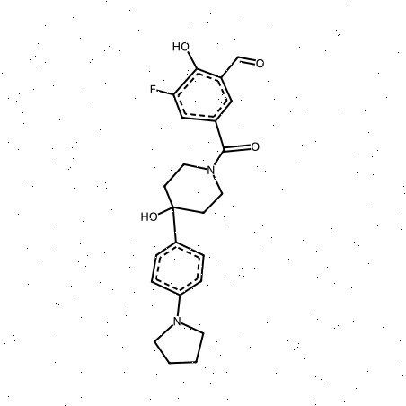 O=Cc1cc(C(=O)N2CCC(O)(c3ccc(N4CCCC4)cc3)CC2)cc(F)c1O